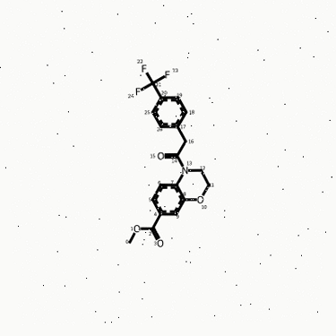 COC(=O)c1ccc2c(c1)OCCN2C(=O)Cc1ccc(C(F)(F)F)cc1